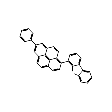 c1ccc(-c2cc3ccc4ccc(-c5cccc6c5oc5ccccc56)c5ccc(c2)c3c45)cc1